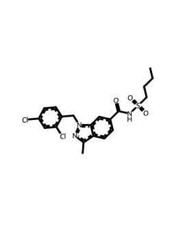 CCCCS(=O)(=O)NC(=O)c1ccc2c(C)nn(Cc3ccc(Cl)cc3Cl)c2c1